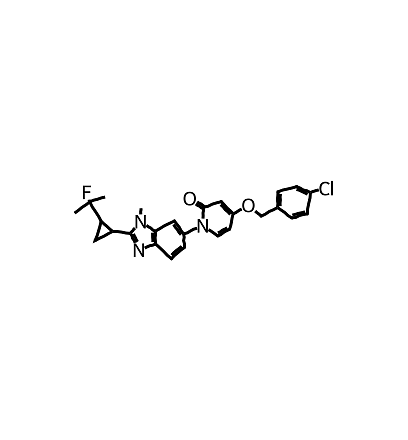 Cn1c(C2CC2C(C)(C)F)nc2ccc(-n3ccc(OCc4ccc(Cl)cc4)cc3=O)cc21